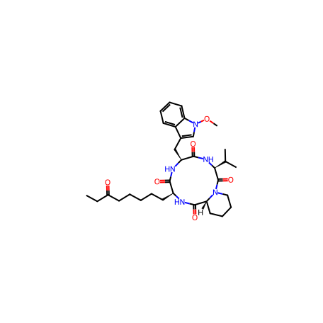 CCC(=O)CCCCC[C@@H]1NC(=O)[C@H]2CCCCN2C(=O)[C@H](C(C)C)NC(=O)[C@H](Cc2cn(OC)c3ccccc23)NC1=O